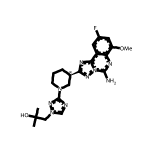 COc1cc(F)cc2c1nc(N)n1nc([C@@H]3CCCN(c4ncn(CC(C)(C)O)n4)C3)nc21